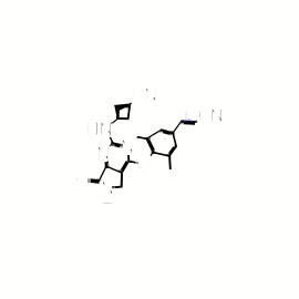 Cc1cc(/C=C/C#N)cc(C)c1Oc1nc(NC23CC(C#N)(C2)C3)nc2c1CNC2=O